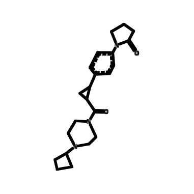 O=C(C1CC1c1ccc(N2CCCC2=O)cc1)N1CCN(C2CCC2)CC1